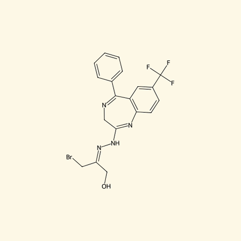 OC/C(CBr)=N\NC1=Nc2ccc(C(F)(F)F)cc2C(c2ccccc2)=NC1